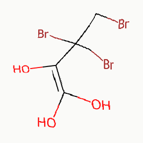 OC(O)=C(O)C(Br)(Br)CBr